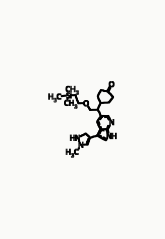 CN1C=C(c2c[nH]c3ncc(C(COCC[Si](C)(C)C)C4CCC(=O)CC4)cc23)CN1